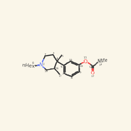 CCCCCCN1CCC(C)(c2cccc(OC(=O)NC)c2)C(C)C1